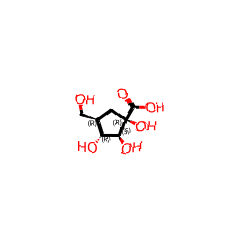 O=C(O)[C@@]1(O)C[C@H](CO)[C@@H](O)[C@@H]1O